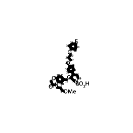 COCCCN1C(=O)COc2ccc(COC3CN(C(=O)O)CCC3c3ccc(OCCCOc4ccc(F)cc4)cc3)cc21